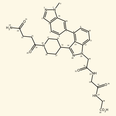 Cn1ncc2ccc(-c3cccc4c3c(C3CCN(C(=O)CCC(N)=O)CC3)nn4CC(=O)NCC(=O)NCC(=O)O)cc21